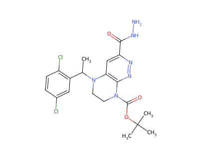 CC(c1cc(Cl)ccc1Cl)N1CCN(C(=O)OC(C)(C)C)c2nnc(C(=O)NN)cc21